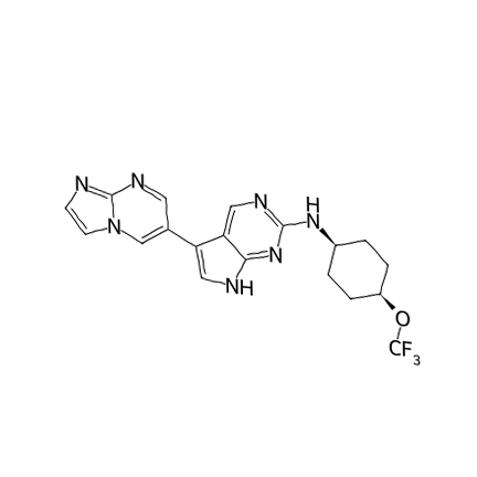 FC(F)(F)O[C@H]1CC[C@@H](Nc2ncc3c(-c4cnc5nccn5c4)c[nH]c3n2)CC1